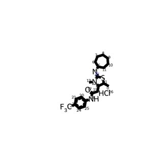 CC1S/C(=N\C2CCCCCC2)N(C)C1CC(=O)Nc1ccc(C(F)(F)F)cc1.Cl